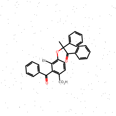 CCc1c(OC(C)(C(=O)c2ccccc2)c2ccccc2)ccc(C(=O)O)c1C(=O)c1ccccc1